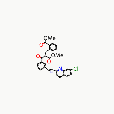 COC(=O)c1ccccc1CC(C(=O)OC)C(=O)c1cccc(/C=C/c2ccc3ccc(Cl)cc3n2)c1